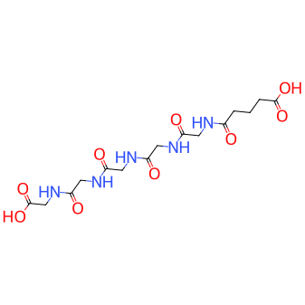 O=C(O)CCCC(=O)NCC(=O)NCC(=O)NCC(=O)NCC(=O)NCC(=O)O